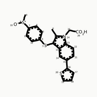 Cc1c(Sc2ccc([S+](C)[O-])cc2)c2cc(-c3cccs3)ccc2n1CC(=O)O